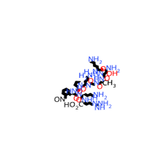 C[C@H](NC(=O)[C@@H](NC(=O)[C@@H](N)CCCCN)[C@@H](O)CN)C(=O)NCC(=O)/N=C(\CCCN)C(=O)N1CCC[C@H]1C(=O)N[C@@H](Cc1ccccc1CN=O)C(=O)N[C@@H](CCCCN)C(=O)N/C(=C\CCNC(=N)N)C(=O)O